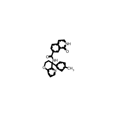 Cc1ccc([C@@]2(NC(=O)c3ccc4cc[nH]c(=O)c4c3)CCOc3cccnc32)cc1